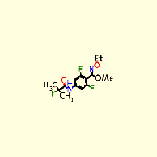 CCON=C(OC)c1c(F)cc(NC(=O)C(C)(C)F)cc1F